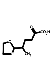 CC(CCC(=O)C(=O)O)C1OCCO1